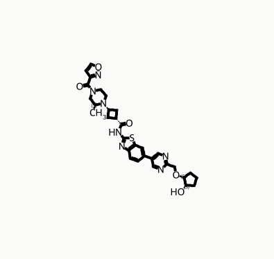 C[C@H]1CN(C(=O)c2ccon2)CCN1[C@H]1C[C@@H](C(=O)Nc2nc3ccc(-c4cnc(CO[C@H]5CCC[C@@H]5O)nc4)cc3s2)C1